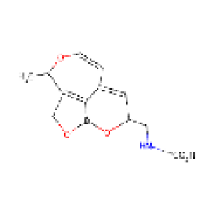 CC1OC=CC2=CC(CNC(=O)O)OB3OCC1=C32